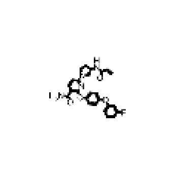 C=CC(=O)NC1CCN(c2ccc(C(N)=O)c(Oc3ccc(Oc4cccc(F)c4)cc3)n2)C1